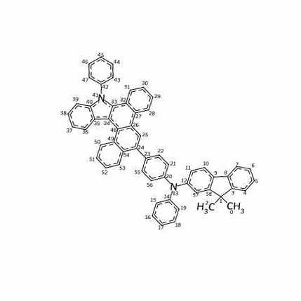 CC1(C)c2ccccc2-c2ccc(N(c3ccccc3)c3ccc(-c4cc5c6ccccc6c6c(c7ccccc7n6-c6ccccc6)c5c5ccccc45)cc3)cc21